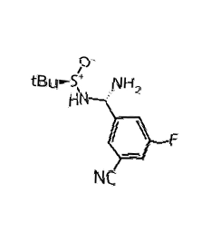 CC(C)(C)[S@@+]([O-])N[C@H](N)c1cc(F)cc(C#N)c1